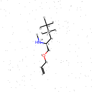 C=CCOC[C@H](C[Si](C)(C)C(C)(C)C)NC